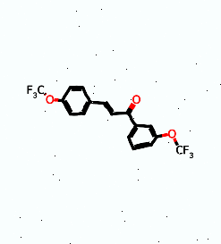 O=C(C=Cc1ccc(OC(F)(F)F)cc1)c1cccc(OC(F)(F)F)c1